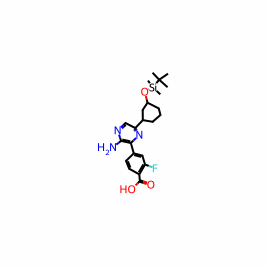 CC(C)(C)[Si](C)(C)OC1CCCC(c2cnc(N)c(-c3ccc(C(=O)O)c(F)c3)n2)C1